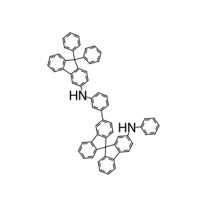 c1ccc(Nc2ccc3c(c2)C2(c4ccccc4-c4cc(-c5cccc(Nc6ccc7c(c6)-c6ccccc6C7(c6ccccc6)c6ccccc6)c5)ccc42)c2ccccc2-3)cc1